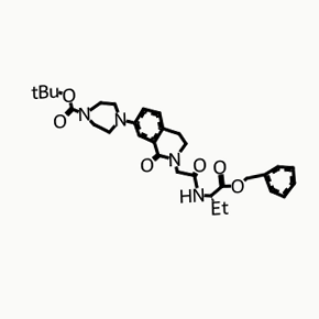 CC[C@H](NC(=O)CN1CCc2ccc(N3CCN(C(=O)OC(C)(C)C)CC3)cc2C1=O)C(=O)OCc1ccccc1